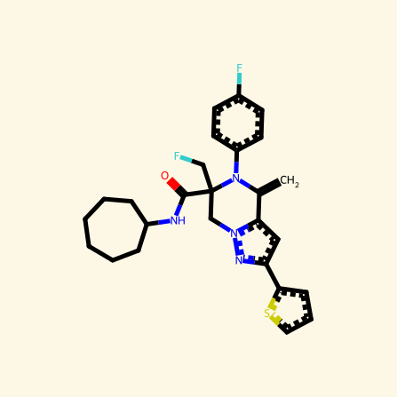 C=C1c2cc(-c3cccs3)nn2CC(CF)(C(=O)NC2CCCCCC2)N1c1ccc(F)cc1